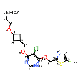 CC(=O)NCCOC1CC(COc2ncnc(OCc3ncc(F)s3)c2Cl)C1